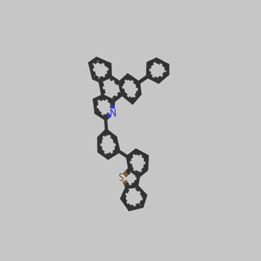 c1ccc(-c2ccc3c(c2)c2ccccc2c2ccc(-c4cccc(-c5cccc6c5sc5ccccc56)c4)nc23)cc1